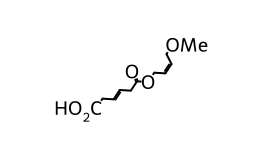 COC/C=C\COC(=O)C/C=C/CC(=O)O